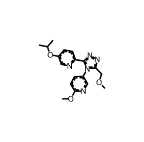 COCc1nnc(-c2ccc(OC(C)C)cn2)n1-c1ccc(OC)nc1